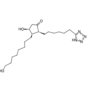 O=C1C[C@H](O)[C@H](CCCCCCCCO)[C@@H]1CCCCCCc1nnn[nH]1